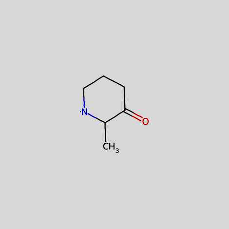 CC1[N]CCCC1=O